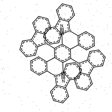 N#Cc1c(-c2ccccc2-n2c3ccccc3c3ccccc32)c(-n2c3ccccc3c3ccccc32)c(C#N)c(-c2ccccc2-n2c3ccccc3c3ccccc32)c1-n1c2ccccc2c2ccccc21